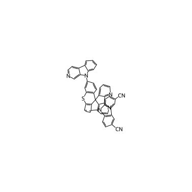 N#Cc1ccc2c(c1)c1cc(C#N)ccc1n2-c1cccc2c1C1(c3ccc(-n4c5ccccc5c5ccncc54)cc3S2)c2cccnc2-c2ncccc21